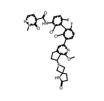 COc1nc(-c2ccc(F)c(-c3c(F)ccc(NC(=O)c4ccnn(C)c4=O)c3Cl)c2Cl)cc2c1C(N1CC3(CCC(=O)N3)C1)CC2